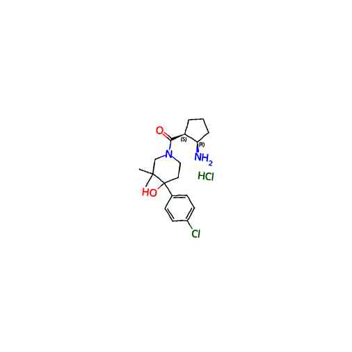 CC1(C)CN(C(=O)[C@H]2CCC[C@H]2N)CCC1(O)c1ccc(Cl)cc1.Cl